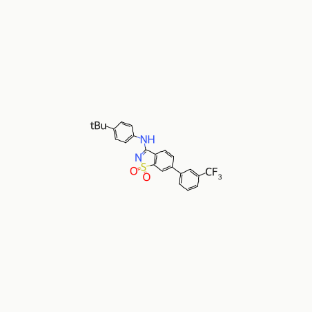 CC(C)(C)c1ccc(NC2=NS(=O)(=O)c3cc(-c4cccc(C(F)(F)F)c4)ccc32)cc1